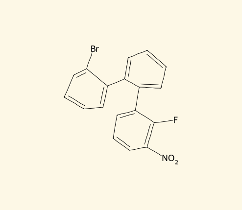 O=[N+]([O-])c1cccc(-c2ccccc2-c2ccccc2Br)c1F